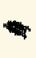 CN(C)c1cc(-c2ccc(F)cc2F)c(O)c2c1C[C@@H]1C[C@@H]3[C@@H](N(C)C)C(O)=C(C(N)=O)C(=O)[C@]3(O)C(O)=C1C2=O